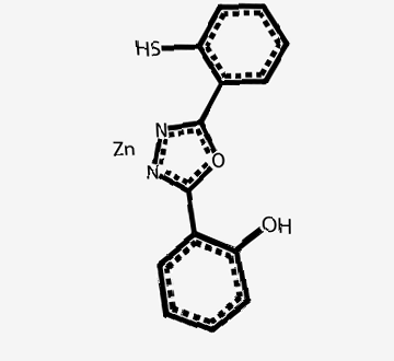 Oc1ccccc1-c1nnc(-c2ccccc2S)o1.[Zn]